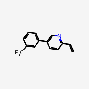 C=Cc1ccc(-c2cccc(C(F)(F)F)c2)cn1